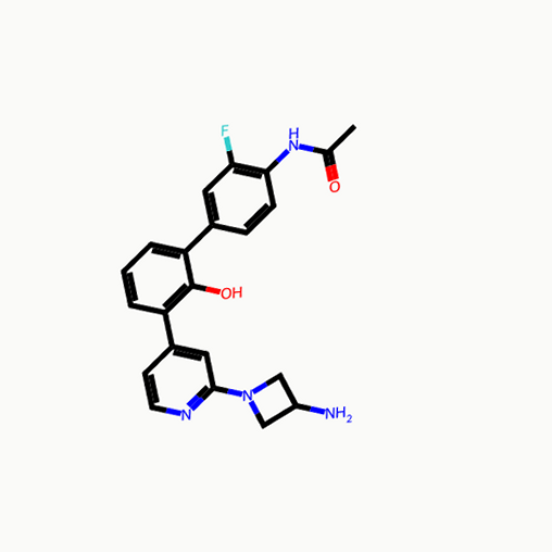 CC(=O)Nc1ccc(-c2cccc(-c3ccnc(N4CC(N)C4)c3)c2O)cc1F